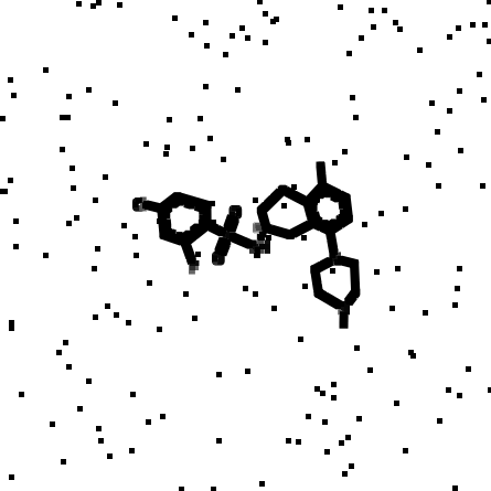 Cc1ccc(N2CCN(C)CC2)c2c1CC[C@@H](NS(=O)(=O)c1ccc(Cl)cc1F)C2